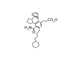 Cc1c(CCC(=O)O)cc(CCCCC2CCCCC2)c(C(N)=O)c1C1CCCC1c1ncco1